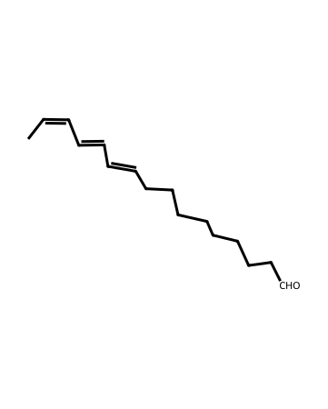 C\C=C/C=C/C=C/CCCCCCCCC=O